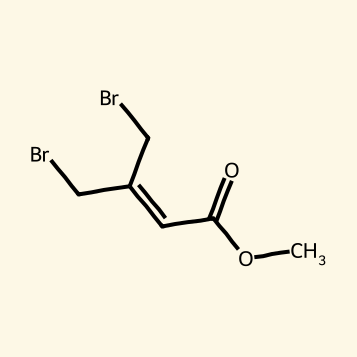 COC(=O)C=C(CBr)CBr